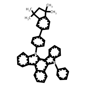 CC1(C)CC(C)(C)c2cc(-c3ccc(-n4c5ccccc5c5c6ccccc6c6c(c7ccccc7n6-c6ccccc6)c54)cc3)ccc21